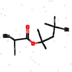 CCC(C)(C)CC(C)(C)OC(=O)C(C)C(C)(C)C